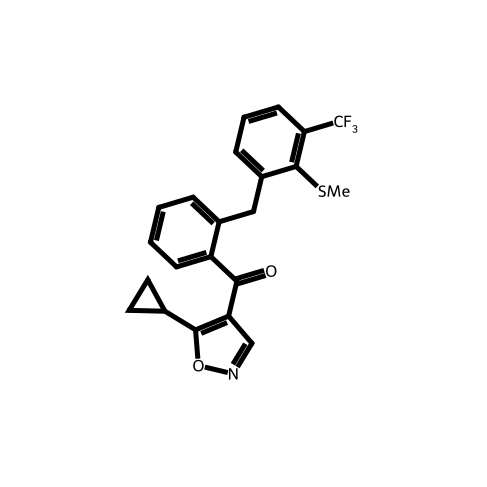 CSc1c(Cc2ccccc2C(=O)c2cnoc2C2CC2)cccc1C(F)(F)F